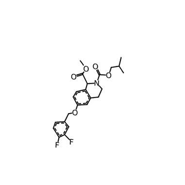 COC(=O)C1c2ccc(OCc3ccc(F)c(F)c3)cc2CCN1C(=O)OCC(C)C